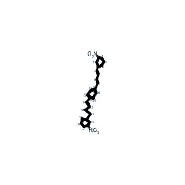 O=[N+]([O-])c1cccc(/C=C/C=C/c2ccc(/C=C/C=C/c3cccc([N+](=O)[O-])c3)cc2)c1